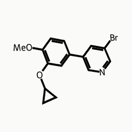 COc1ccc(-c2cncc(Br)c2)cc1OC1CC1